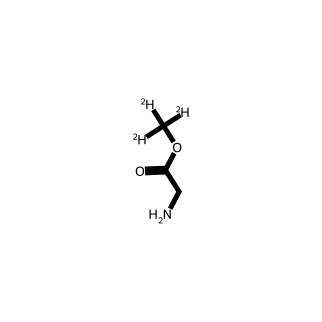 [2H]C([2H])([2H])OC(=O)CN